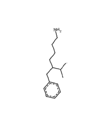 [CH2]C(C)C(CCCCN)Cc1ccccc1